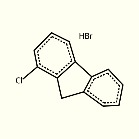 Br.Clc1cccc2c1Cc1ccccc1-2